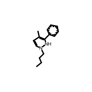 CCCCN1C=CC(C)=C(c2ccccc2)N1